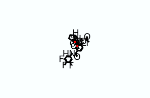 CC(=O)OC[C@]1(OC(C)=O)CC2CC[C@@H](C1)[C@H]2S(=O)(=O)c1cc(C(=O)Nc2cc(F)c(F)c(F)c2)ccc1Cl